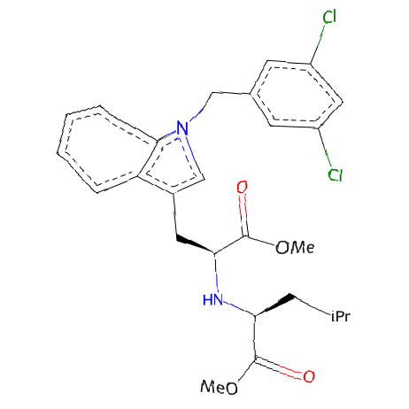 COC(=O)[C@H](Cc1cn(Cc2cc(Cl)cc(Cl)c2)c2ccccc12)N[C@@H](CC(C)C)C(=O)OC